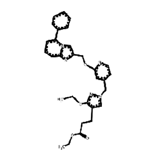 CCOC(=O)CCc1cn(Cc2ccnc(OCc3cn4c(-c5ccccc5)cccc4n3)c2)nc1OCC